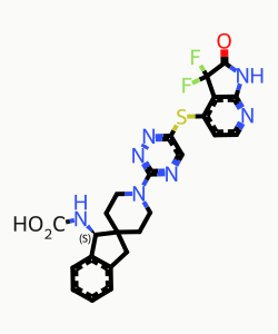 O=C(O)N[C@@H]1c2ccccc2CC12CCN(c1ncc(Sc3ccnc4c3C(F)(F)C(=O)N4)nn1)CC2